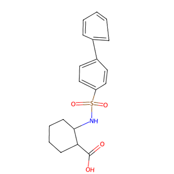 O=C(O)C1CCCCC1NS(=O)(=O)c1ccc(-c2ccccc2)cc1